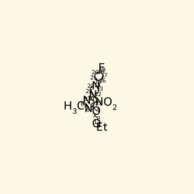 CCOCCOc1nc(C)nc(N2CCN(c3ccc(F)cc3)CC2)c1[N+](=O)[O-]